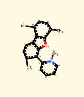 Cc1ccc2c(oc3c(C)ccc(C#N)c32)c1-c1cccc[n+]1C